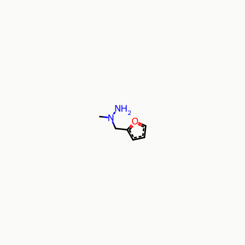 CN(N)Cc1ccco1